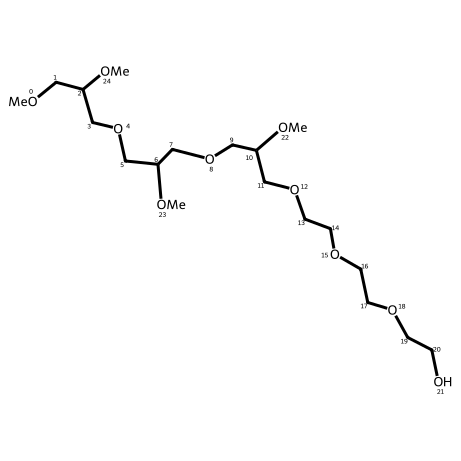 COCC(COCC(COCC(COCCOCCOCCO)OC)OC)OC